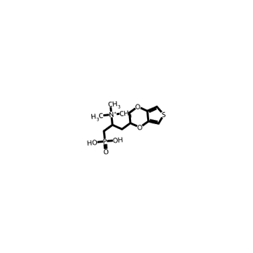 C[N+](C)(C)C(CC1COc2cscc2O1)CP(=O)(O)O